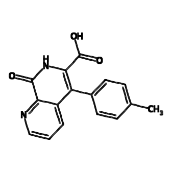 Cc1ccc(-c2c(C(=O)O)[nH]c(=O)c3ncccc23)cc1